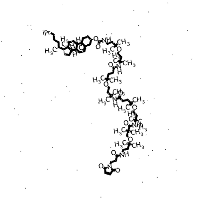 CC(C)CCC[C@@H](C)[C@H]1CC[C@H]2[C@@H]3CC=C4C[C@@H](OC(=O)NCCC(C)(C)OCCC(C)(C)NC(=O)CCC(C)(C)OCCC(C)(C)NC(=O)CCC(C)(C)OCCC(C)(C)NC(=O)C(C)(C)COC(C)(C)CCNC(=O)CCN5C(=O)C=CC5=O)CC[C@]4(C)[C@H]3CC[C@]12C